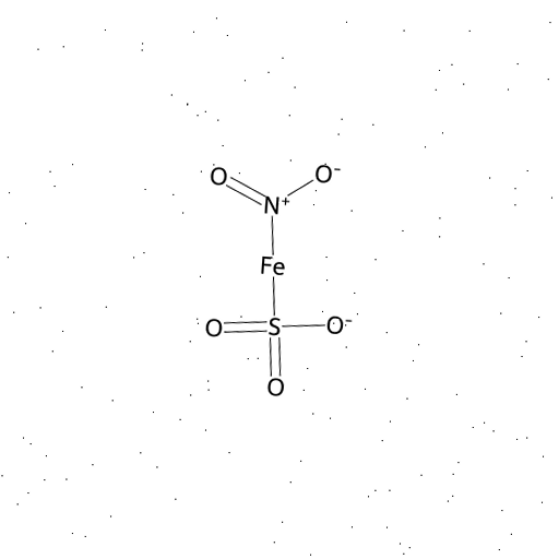 O=[N+]([O-])[Fe][S](=O)(=O)[O-]